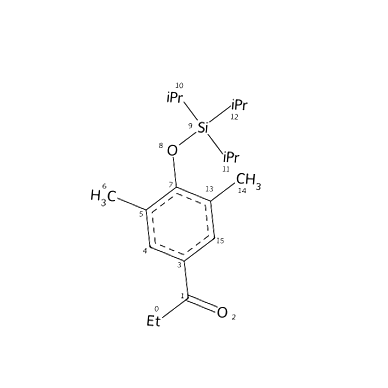 CCC(=O)c1cc(C)c(O[Si](C(C)C)(C(C)C)C(C)C)c(C)c1